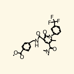 COC(=O)c1ccc(CNC(=O)c2cc(C(=O)N(C)C)c(C)n(-c3cccc(C(F)(F)F)c3)c2=O)cc1